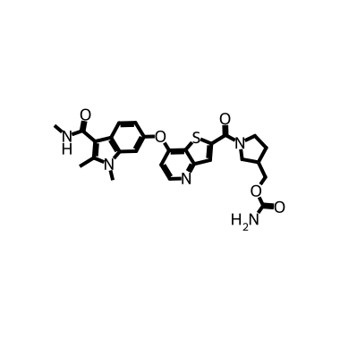 CNC(=O)c1c(C)n(C)c2cc(Oc3ccnc4cc(C(=O)N5CCC(COC(N)=O)C5)sc34)ccc12